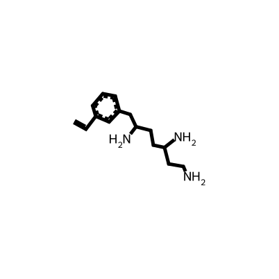 C=Cc1cccc(CC(N)CCC(N)CCN)c1